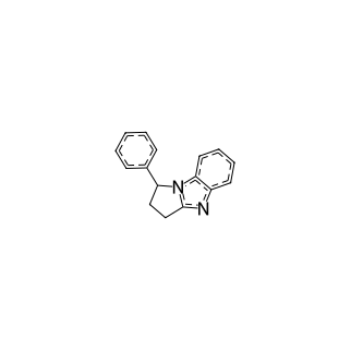 c1ccc(C2CCc3nc4ccccc4n32)cc1